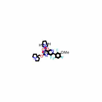 COc1c(F)cc(F)c(-c2ncc3c(N4C[C@H]5CC[C@@H](C4)N5C(=O)OC(C)(C)C)nc(OCC45CCCN4CCC5)nc3c2F)c1F